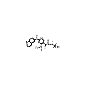 CC(C)Nc1cc(Nc2ccc3nnccc3c2)ncc1C(=O)NC[C@@H](F)C(C)(C)O